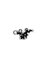 CCCC(=O)c1cnc2c(c1)N(C(=O)CCl)CC2(C)C